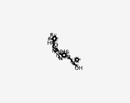 O=C(Cn1cc(Nc2ncnc3cc(OCCCN(CCO)C4CCCC4)c(F)cc23)cn1)Nc1cccc(F)c1F